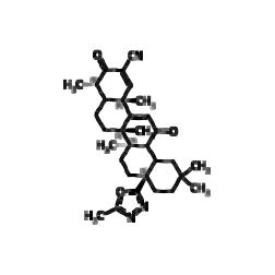 Cc1nnc([C@]23CCC(C)(C)CC2C2C(=O)C=C4[C@@]5(C)C=C(C#N)C(=O)[C@@H](C)C5CC[C@@]4(C)[C@]2(C)CC3)o1